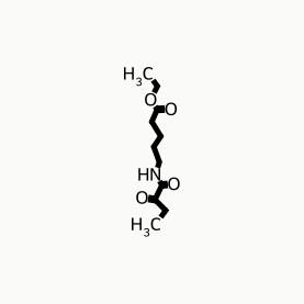 CCOC(=O)CCCCNC(=O)C(=O)CC